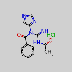 CC(=O)NC(=N)N(C(=O)c1ccccc1)c1c[nH]cn1.Cl